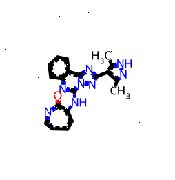 Cc1n[nH]c(C)c1-c1nc2c3ccccc3nc(Nc3ccccnc3=O)n2n1